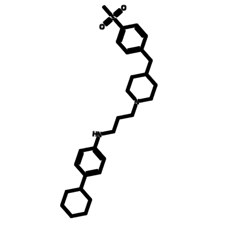 CS(=O)(=O)c1ccc(CC2CCN(CCCNc3ccc(C4CCCCC4)cc3)CC2)cc1